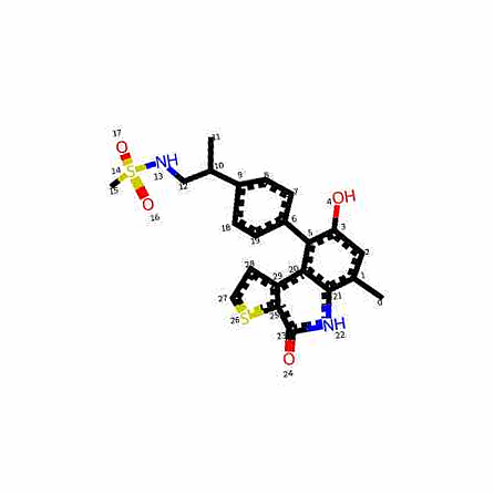 Cc1cc(O)c(-c2ccc(C(C)CNS(C)(=O)=O)cc2)c2c1[nH]c(=O)c1sccc12